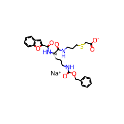 O=C([O-])CSCCCNC(=O)[C@H](CCCNC(=O)OCc1ccccc1)NC(=O)c1cc2ccccc2o1.[Na+]